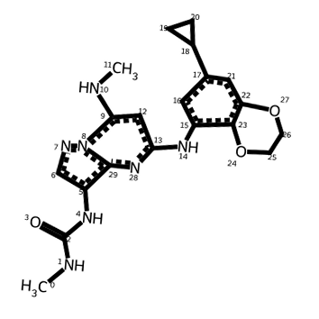 CNC(=O)Nc1cnn2c(NC)cc(Nc3cc(C4CC4)cc4c3OCCO4)nc12